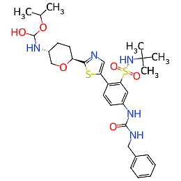 CC(C)OC(O)N[C@@H]1CC[C@@H](c2ncc(-c3ccc(NC(=O)NCc4ccccc4)cc3S(=O)(=O)NC(C)(C)C)s2)OC1